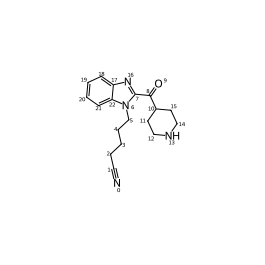 N#CCCCCn1c(C(=O)C2CCNCC2)nc2ccccc21